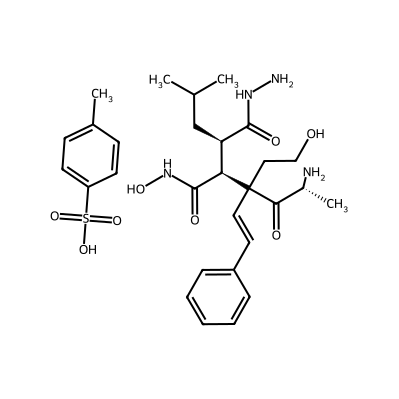 CC(C)C[C@@H](C(=O)NN)[C@H](C(=O)NO)C(/C=C/c1ccccc1)(CCO)C(=O)[C@@H](C)N.Cc1ccc(S(=O)(=O)O)cc1